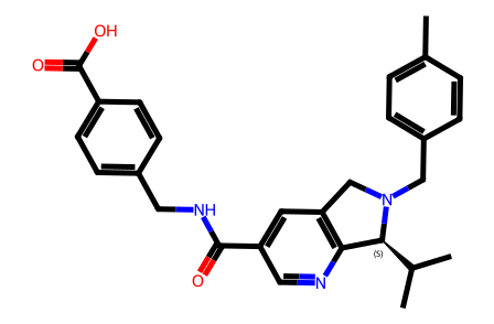 Cc1ccc(CN2Cc3cc(C(=O)NCc4ccc(C(=O)O)cc4)cnc3[C@@H]2C(C)C)cc1